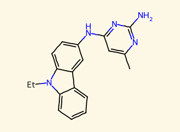 CCn1c2ccccc2c2cc(Nc3cc(C)nc(N)n3)ccc21